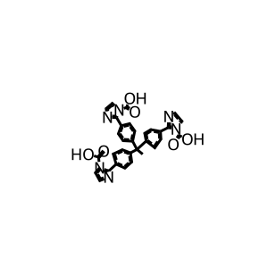 CC(c1ccc(-c2nccn2C(=O)O)cc1)(c1ccc(-c2nccn2C(=O)O)cc1)c1ccc(-c2nccn2C(=O)O)cc1